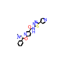 CN(C)C[C@H](Oc1ccc(C(=O)Nc2nnc(-c3ccncc3)s2)cn1)c1ccccc1